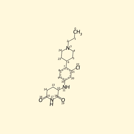 CCCN1CCC(c2ccc(NC3CCC(=O)NC3=O)cc2Cl)CC1